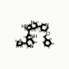 c1ccc(COc2cncc(-c3cnc4[nH]nc(-c5cc6c(-c7cccs7)cncc6[nH]5)c4c3)c2)cc1